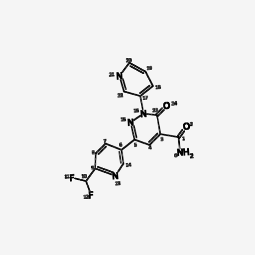 NC(=O)c1cc(-c2ccc(C(F)F)nc2)nn(-c2cccnc2)c1=O